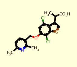 Cc1nc(C(F)(F)F)ccc1COc1cc(Cl)c2c(C(C)C(=O)O)csc2c1Cl